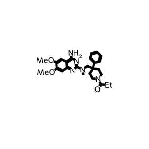 CCC(=O)N1CCC(CN(C)c2nc(N)c3cc(OC)c(OC)cc3n2)(c2ccccc2)CC1